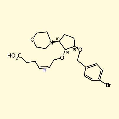 O=C(O)CC/C=C\CO[C@H]1[C@H](OCc2ccc(Br)cc2)CC[C@@H]1N1CCOCC1